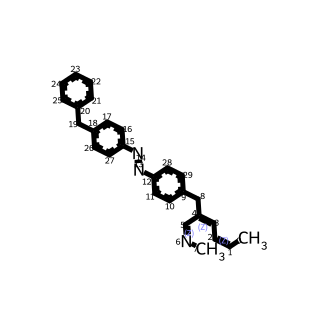 C\C=C/C=C(\C=N/C)Cc1ccc(N=Nc2ccc(Cc3ccccc3)cc2)cc1